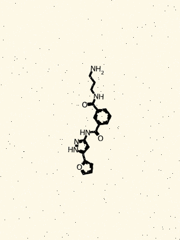 NCCCNC(=O)c1cccc(C(=O)Nc2cc(-c3ccco3)[nH]n2)c1